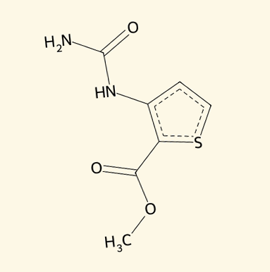 COC(=O)c1sccc1NC(N)=O